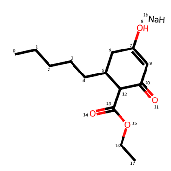 CCCCCC1CC(O)=CC(=O)C1C(=O)OCC.[NaH]